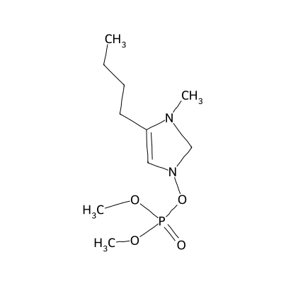 CCCCC1=CN(OP(=O)(OC)OC)CN1C